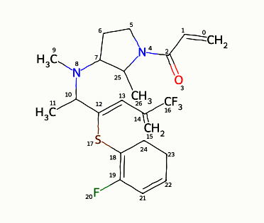 C=CC(=O)N1CCC(N(C)C(C)/C(=C/C(=C)C(F)(F)F)SC2=C(F)C=CCC2)C1C